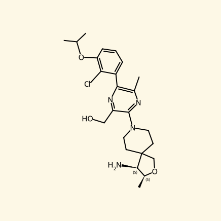 Cc1nc(N2CCC3(CC2)CO[C@@H](C)[C@H]3N)c(CO)nc1-c1cccc(OC(C)C)c1Cl